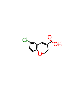 O=C(O)C1=Cc2cc(Cl)ccc2OCC1